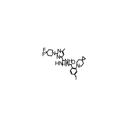 Cc1cc(C(=N)NNC(=O)c2ccc(I)cc2N2CCC3(CC2)CC3)nc(N2CCC(F)(F)CC2)n1